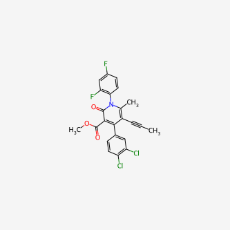 CC#Cc1c(-c2ccc(Cl)c(Cl)c2)c(C(=O)OC)c(=O)n(-c2ccc(F)cc2F)c1C